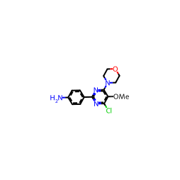 COc1c(Cl)nc(-c2ccc(N)cc2)nc1N1CCOCC1